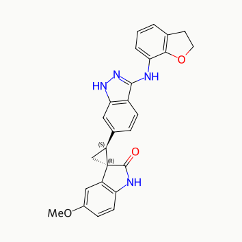 COc1ccc2c(c1)[C@]1(C[C@H]1c1ccc3c(Nc4cccc5c4OCC5)n[nH]c3c1)C(=O)N2